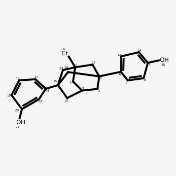 CCC12CC3CC(c4ccc(O)cc4)(C1)CC(c1cccc(O)c1)(C3)C2